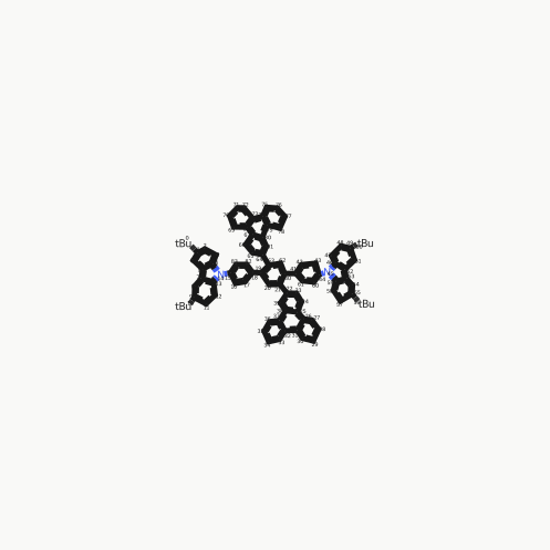 CC(C)(C)c1ccc2c(c1)c1cc(C(C)(C)C)ccc1n2-c1ccc(-c2cc(-c3ccc4c5ccccc5c5ccccc5c4c3)c(-c3ccc(-n4c5ccc(C(C)(C)C)cc5c5cc(C(C)(C)C)ccc54)cc3)cc2-c2ccc3c4ccccc4c4ccccc4c3c2)cc1